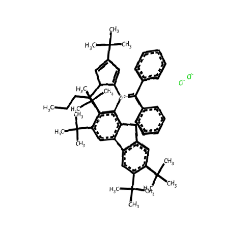 CCCCC1C=C(C(C)(C)C)C=[C]1[Zr+2](=[C](c1ccccc1)c1ccccc1)[c]1c2c(cc(C(C)(C)C)c1C(C)(C)C)-c1cc(C(C)(C)C)c(C(C)(C)C)cc1C2.[Cl-].[Cl-]